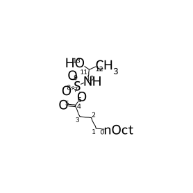 CCCCCCCCCCCC(=O)OS(=O)(=O)NC(C)O